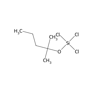 CCCC(C)(C)O[Si](Cl)(Cl)Cl